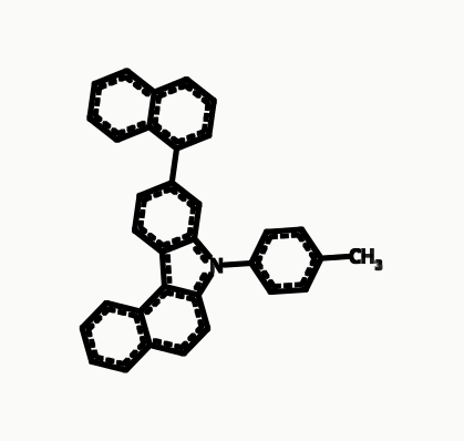 Cc1ccc(-n2c3cc(-c4cccc5ccccc45)ccc3c3c4ccccc4ccc32)cc1